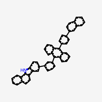 c1cc(-c2ccc3[nH]c4c5ccccc5ccc4c3c2)cc(-c2c3ccccc3c(-c3ccc(-c4ccc5ccccc5c4)cc3)c3ccccc23)c1